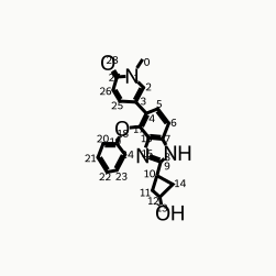 Cn1cc(-c2ccc3[nH]c(C4CC(O)C4)nc3c2Oc2ccccc2)ccc1=O